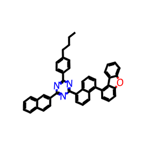 CCCCc1ccc(-c2nc(-c3ccc4ccccc4c3)nc(-c3cccc4c(-c5cccc6oc7ccccc7c56)cccc34)n2)cc1